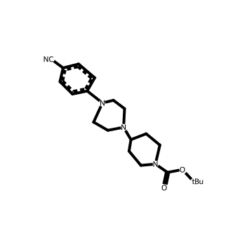 CC(C)(C)OC(=O)N1CCC(N2CCN(c3ccc(C#N)cc3)CC2)CC1